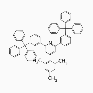 Cc1cc(C)c(-c2cc(-c3cccc(C(c4ccccc4)(c4ccccc4)c4ccccc4)c3)nc(-c3cccc(C(c4ccccc4)(c4ccccc4)c4ccccc4)c3)c2)c(C)c1